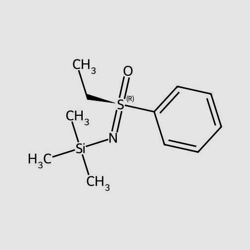 CC[S@](=O)(=N[Si](C)(C)C)c1ccccc1